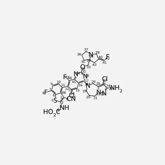 N#Cc1c(NC(=O)O)sc2c(F)ccc(-c3c(Cl)cc4c(N5CCCn6nc(N)c(Cl)c6C5)nc(OCC56CCCN5C/C(=C\F)C6)nc4c3F)c12